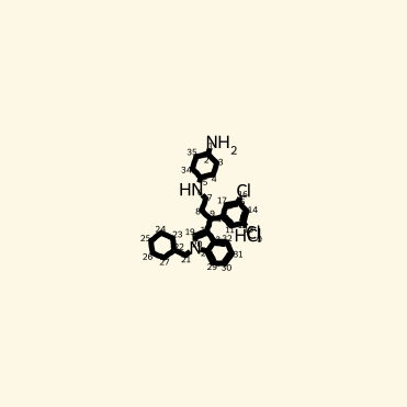 Cl.NC1CCC(NCCC(c2cc(Cl)cc(Cl)c2)c2cn(CC3CCCCC3)c3ccccc23)CC1